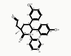 C[C@]1(CC=O)CC(c2cccc(Cl)c2)C(c2ccc(Cl)cc2)N(c2ccncn2)C1=O